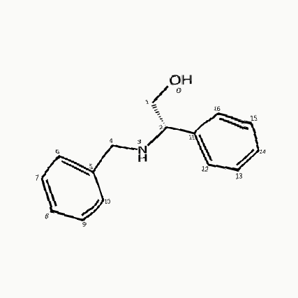 OC[C@@H](NCc1ccccc1)c1ccccc1